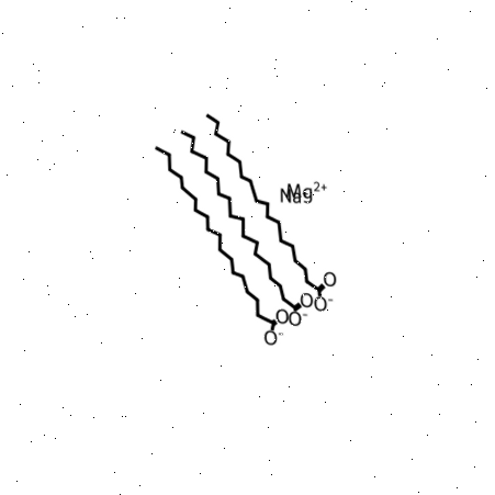 CCCCCCCCCCCCCCCCCC(=O)[O-].CCCCCCCCCCCCCCCCCC(=O)[O-].CCCCCCCCCCCCCCCCCC(=O)[O-].[Mg+2].[Na+]